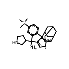 C[Si](C)(C)c1ccc(C2(CP)C3CC4CC(C3)CC2C4)c(C(P)(C2CCNC2)C2CCNC2)c1